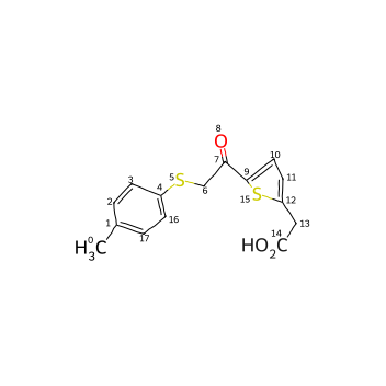 Cc1ccc(SCC(=O)c2ccc(CC(=O)O)s2)cc1